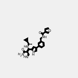 C[C@@H](N/C(=C(/C=N)C(N)=O)c1cc(-c2cccc(CNC(=O)c3ccoc3)c2)c[nH]1)C1CC1